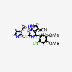 COc1cc(Cl)c(-c2nc(Sc3nccn3C)nc3[nH]cc(C#N)c23)cc1OC